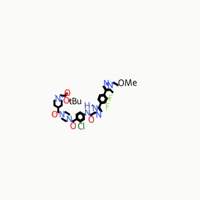 COCCn1ncc(-c2ccc(-c3cnc(C(=O)Nc4ccc(C(=O)N5CCN(C(=O)C6CC[N+](C)(CC(=O)OC(C)(C)C)CC6)CC5)c(Cl)c4)n3C)c(F)c2F)c1C